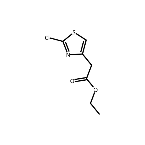 CCOC(=O)Cc1csc(Cl)n1